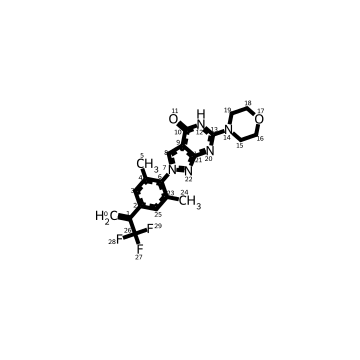 C=C(c1cc(C)c(-n2cc3c(=O)[nH]c(N4CCOCC4)nc3n2)c(C)c1)C(F)(F)F